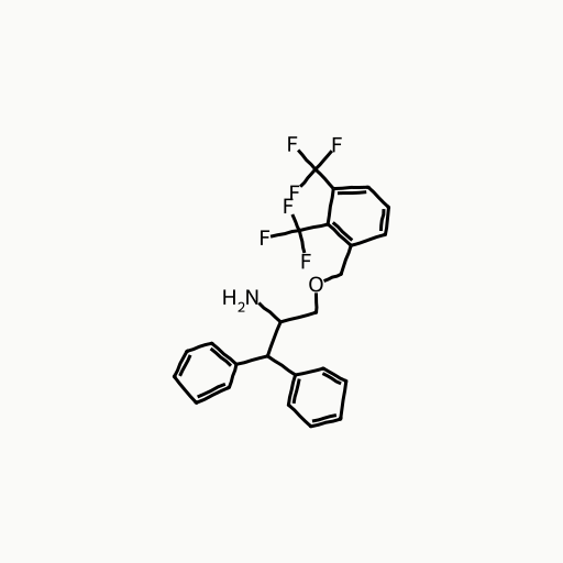 NC(COCc1cccc(C(F)(F)F)c1C(F)(F)F)C(c1ccccc1)c1ccccc1